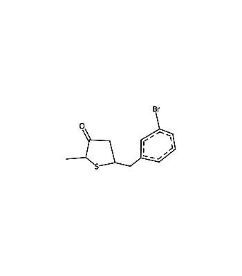 CC1SC(Cc2cccc(Br)c2)CC1=O